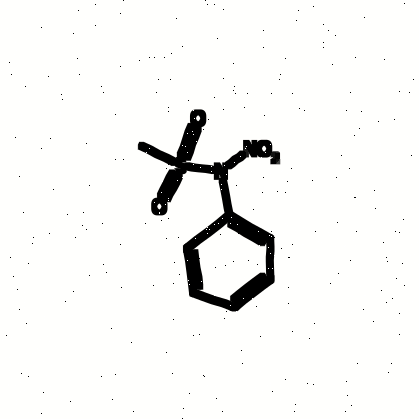 CS(=O)(=O)N(c1ccccc1)[N+](=O)[O-]